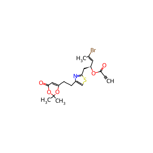 C#CC(=O)O[C@H](/C=C(\C)Br)Cc1nc(CCC2=CC(=O)OC(C)(C)O2)cs1